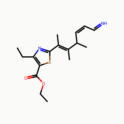 CCOC(=O)c1sc(/C(C)=C(\C)C(C)/C=C\C=N)nc1CC